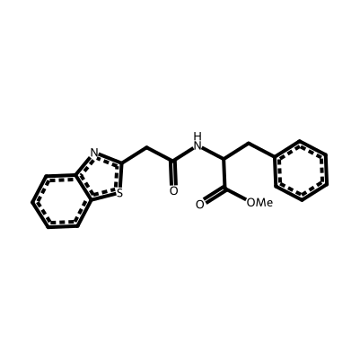 COC(=O)C(Cc1ccccc1)NC(=O)Cc1nc2ccccc2s1